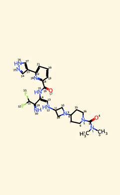 CN(C)C(=O)N1CCC(N2CC(N/C=C(/NC(=O)c3cccc(-c4cn[nH]c4)n3)C(=N)C(F)F)C2)CC1